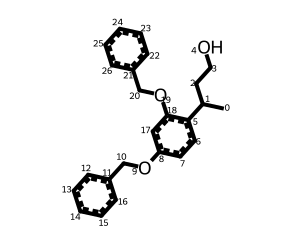 CC(CCO)c1ccc(OCc2ccccc2)cc1OCc1ccccc1